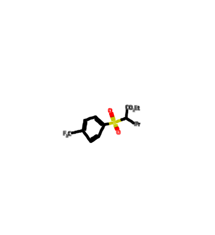 CCOC(=O)C(C(C)C)S(=O)(=O)c1ccc(C(F)(F)F)cc1